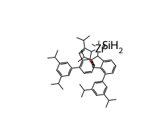 CC(C)C1=Cc2c(-c3cc(C(C)C)cc(C(C)C)c3)cccc2[CH]1[Zr]([CH3])([CH3])(=[SiH2])[CH]1C(C(C)C)=Cc2c(-c3cc(C(C)C)cc(C(C)C)c3)cccc21